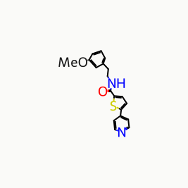 COc1cccc(CCNC(=O)c2ccc(-c3ccncc3)s2)c1